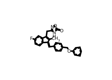 CC1=C(Cc2noc(=O)[nH]2)c2cc(F)ccc2C1=Cc1ccc(COc2ccccc2)cc1